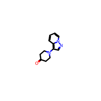 O=C1CCN(c2cnn3ccccc23)CC1